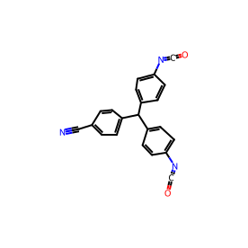 N#Cc1ccc(C(c2ccc(N=C=O)cc2)c2ccc(N=C=O)cc2)cc1